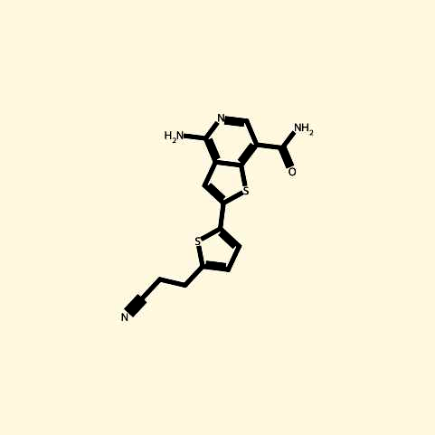 N#CCCc1ccc(-c2cc3c(N)ncc(C(N)=O)c3s2)s1